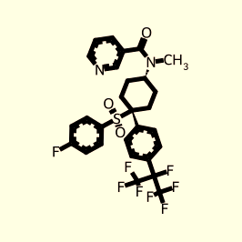 CN(C(=O)c1cccnc1)[C@H]1CC[C@@](c2ccc(C(F)(C(F)(F)F)C(F)(F)F)cc2)(S(=O)(=O)c2ccc(F)cc2)CC1